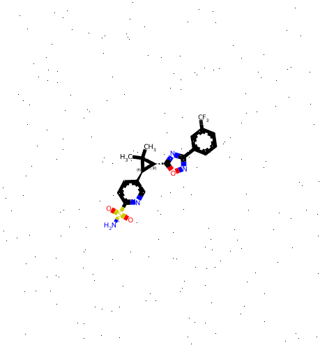 CC1(C)[C@H](c2ccc(S(N)(=O)=O)nc2)[C@H]1c1nc(-c2cccc(C(F)(F)F)c2)no1